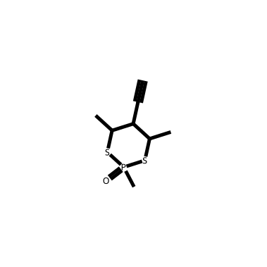 C#CC1C(C)SP(C)(=O)SC1C